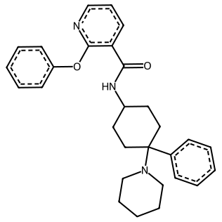 O=C(NC1CCC(c2ccccc2)(N2CCCCC2)CC1)c1cccnc1Oc1ccccc1